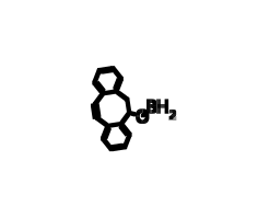 BOC1Cc2ccccc2C#Cc2ccccc21